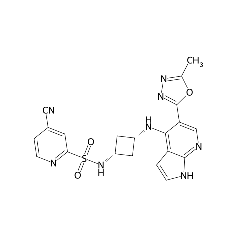 Cc1nnc(-c2cnc3[nH]ccc3c2N[C@H]2C[C@@H](NS(=O)(=O)c3cc(C#N)ccn3)C2)o1